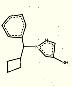 Bc1cnn(C(c2ccccc2)C2CCC2)c1